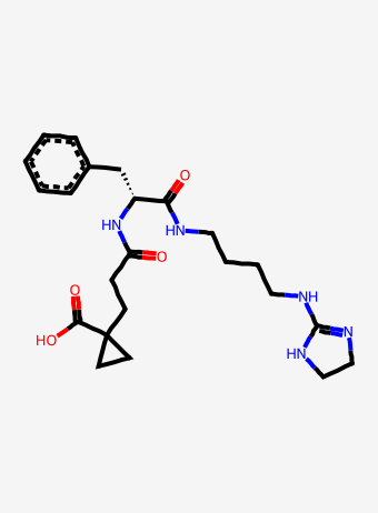 O=C(CCC1(C(=O)O)CC1)N[C@H](Cc1ccccc1)C(=O)NCCCCNC1=NCCN1